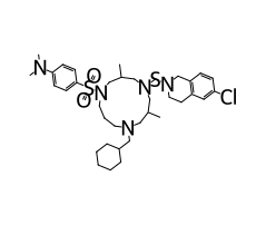 CC1CN(CC2CCCCC2)CCCN(S(=O)(=O)c2ccc(N(C)C)cc2)CC(C)CN(SN2CCc3cc(Cl)ccc3C2)C1